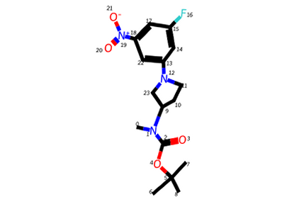 CN(C(=O)OC(C)(C)C)C1CCN(c2cc(F)cc([N+](=O)[O-])c2)C1